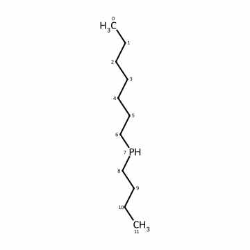 CCCCCCCPCCCC